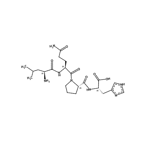 CC(C)C[C@H](N)C(=O)N[C@@H](CCC(N)=O)C(=O)N1CCC[C@H]1C(=O)N[C@@H](Cc1c[nH]cn1)C(=O)O